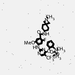 COc1cc(C(=O)NC2CCC3(CC2)CN(C)C3)c(F)cc1Nc1ncc(C(F)(F)F)c(Oc2ccccc2N(C)S(C)(=O)=O)n1